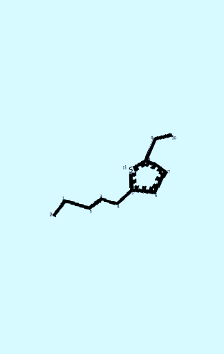 [CH2]CCCCc1ccc(CC)s1